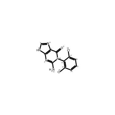 Nc1nc2[nH]cnc2c(=O)n1-c1c(Cl)cccc1Cl